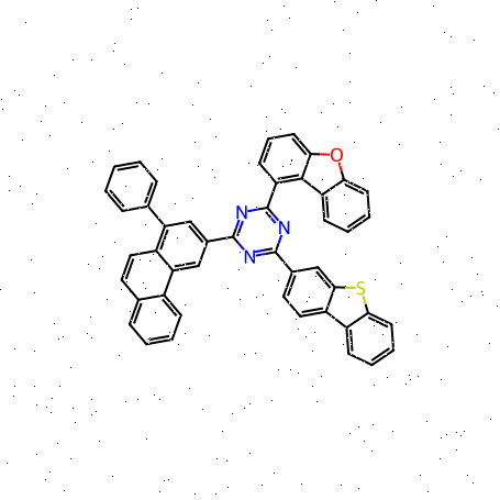 c1ccc(-c2cc(-c3nc(-c4ccc5c(c4)sc4ccccc45)nc(-c4cccc5oc6ccccc6c45)n3)cc3c2ccc2ccccc23)cc1